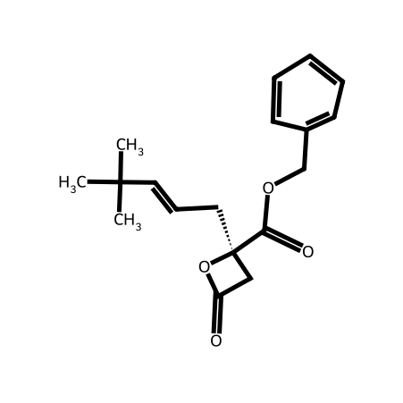 CC(C)(C)/C=C/C[C@]1(C(=O)OCc2ccccc2)CC(=O)O1